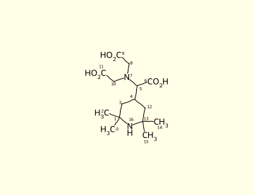 CC1(C)CC(C(C(=O)O)N(CC(=O)O)CC(=O)O)CC(C)(C)N1